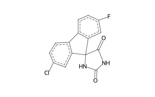 O=C1NC(=O)C2(N1)c1cc(F)ccc1-c1ccc(Cl)cc12